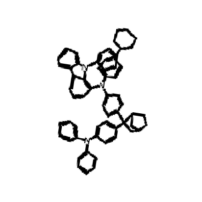 c1ccc(N(c2ccccc2)c2ccc(C3(c4ccc(N(c5ccc(C6CCCCC6)cc5)c5cccc6c7ccccc7n(-c7ccccc7)c56)cc4)CC4CCC3C4)cc2)cc1